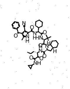 CCC[C@H](NC(=O)[C@@H]1C[C@@H]2CCCC[C@@H]2N1C(=O)[C@@H](NC(=O)C(NC(=O)c1[nH]c(C)c(C(=O)c2ccccc2)c1C#N)C1CCCCC1)C(C)(C)C)C(=O)C(=O)NC1CC1